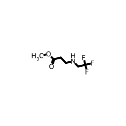 COC(=O)CCNCC(F)(F)F